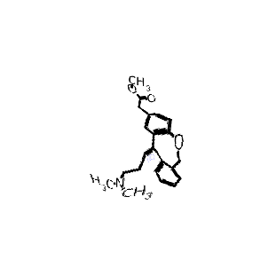 COC(=O)Cc1ccc2c(c1)/C(=C/CCN(C)C)c1ccccc1CO2